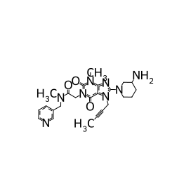 CC#CCn1c(N2CCCC(N)C2)nc2c1c(=O)n(CC(=O)N(C)Cc1cccnc1)c(=O)n2C